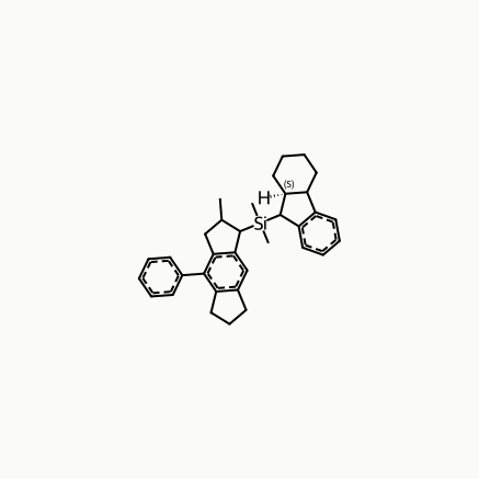 CC1Cc2c(cc3c(c2-c2ccccc2)CCC3)C1[Si](C)(C)C1c2ccccc2C2CCCC[C@@H]21